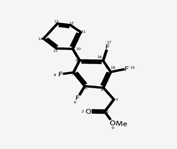 COC(=O)Cc1c(F)c(F)c(-c2ccccc2)c(F)c1F